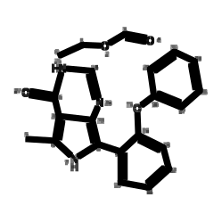 CCOC=O.Cc1[nH]c(-c2ccccc2Oc2ccccc2)c2nc[nH]c(=O)c12